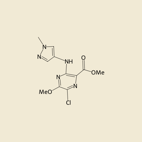 COC(=O)c1nc(Cl)c(OC)nc1Nc1cnn(C)c1